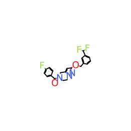 O=C(c1ccc(F)cc1)N1CCn2nc(OCc3cccc(C(F)F)c3)cc2C1